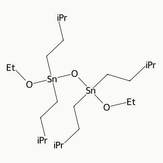 CC[O][Sn]([CH2]CC(C)C)([CH2]CC(C)C)[O][Sn]([CH2]CC(C)C)([CH2]CC(C)C)[O]CC